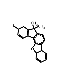 CC1(C)C2=C(C=CC(I)C2)c2c1ccc1c2OC2C=CC=CC12